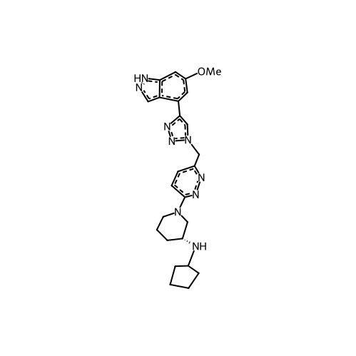 COc1cc(-c2cn(Cc3ccc(N4CCC[C@@H](NC5CCCC5)C4)nn3)nn2)c2cn[nH]c2c1